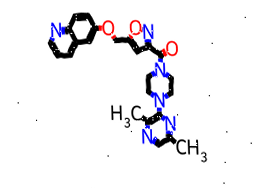 Cc1cnc(C)c(N2CCN(C(=O)c3cc(COc4ccc5ncccc5c4)on3)CC2)n1